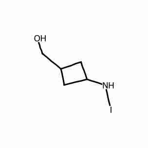 OCC1CC(NI)C1